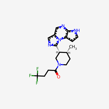 C[C@@H]1CCN(C(=O)CCC(F)(F)F)C[C@@H]1c1ncc2cnc3[nH]ccc3n12